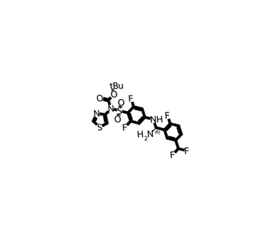 CC(C)(C)OC(=O)N(c1cscn1)S(=O)(=O)c1c(F)cc(N[C@@H](N)c2cc(C(F)F)ccc2F)cc1F